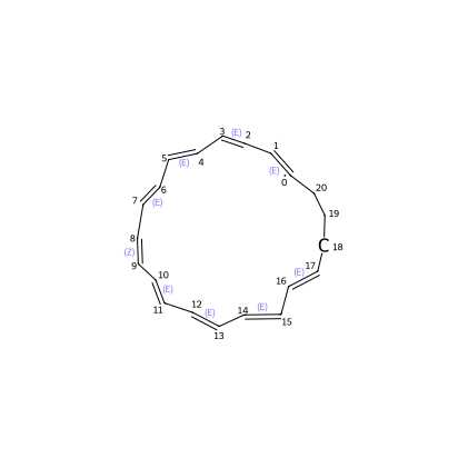 [C]1=C/C=C/C=C/C=C/C=C\C=C\C=C\C=C\C=C\CCC/1